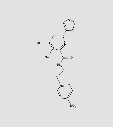 O=C(NCCc1ccc([N+](=O)[O-])cc1)c1nc(-c2cccs2)nc(O)c1O